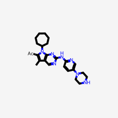 CC(=O)c1c(C)c2cnc(Nc3ccc(N4CCNCC4)cn3)nc2n1C1CCCCCC1